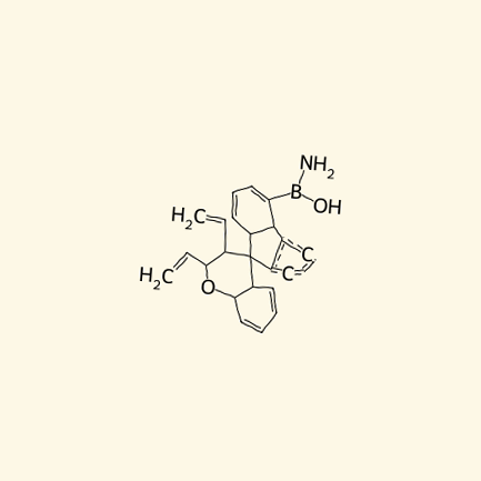 C=CC1OC2C=CC=CC2C2(c3ccccc3C3C(B(N)O)=CC=CC32)C1C=C